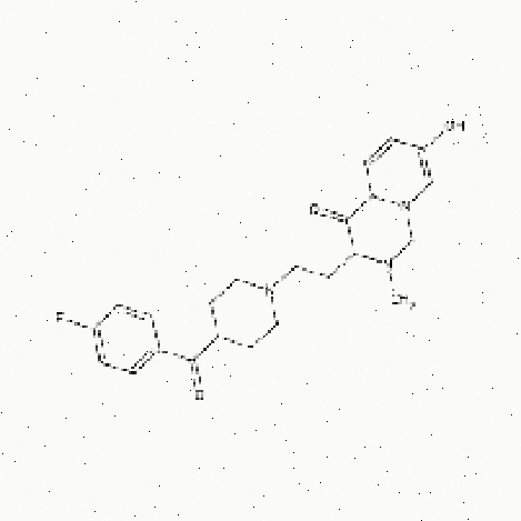 CN1CN2C=C(O)C=CC2C(=O)C1CCN1CCC(C(=O)c2ccc(F)cc2)CC1